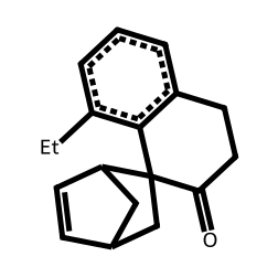 CCc1cccc2c1C1(CC3C=CC1C3)C(=O)CC2